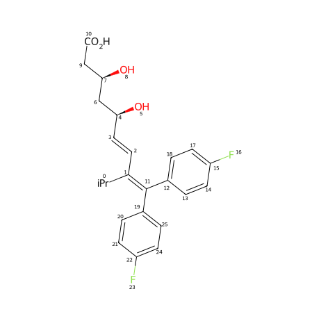 CC(C)C(C=C[C@H](O)C[C@H](O)CC(=O)O)=C(c1ccc(F)cc1)c1ccc(F)cc1